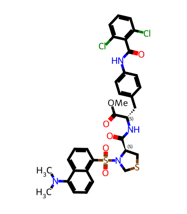 COC(=O)[C@H](Cc1ccc(NC(=O)c2c(Cl)cccc2Cl)cc1)NC(=O)[C@H]1CSCN1S(=O)(=O)c1cccc2c(N(C)C)cccc12